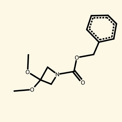 COC1(OC)CN(C(=O)OCc2ccccc2)C1